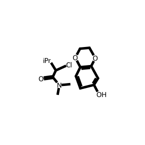 CC(C)C(Cl)C(=O)N(C)C.Oc1ccc2c(c1)OCCO2